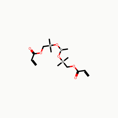 C=CC(=O)OC[Si](C)(C)O[Si](C)O[Si](C)(C)COC(=O)C=C